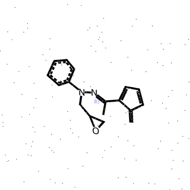 C=C1C=CC=C1/C(C)=N/N(CC1CO1)c1ccccc1